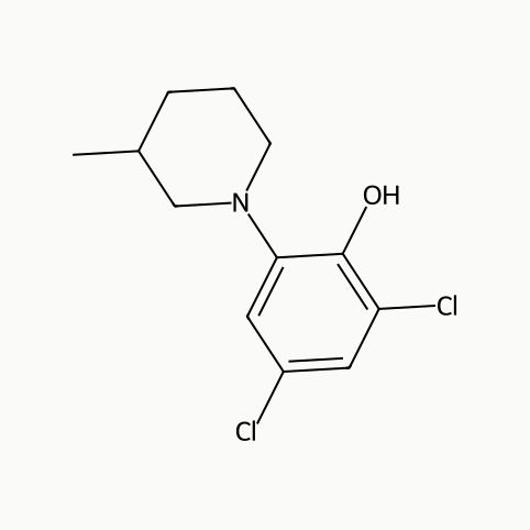 CC1CCCN(c2cc(Cl)cc(Cl)c2O)C1